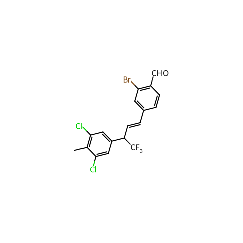 Cc1c(Cl)cc(C(/C=C/c2ccc(C=O)c(Br)c2)C(F)(F)F)cc1Cl